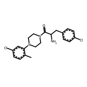 Cc1ccc(Cl)cc1N1CCN(C(=O)C(N)Cc2ccc(Cl)cc2)CC1